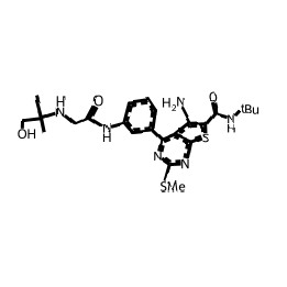 CSc1nc(-c2cccc(NC(=O)CNC(C)(C)CO)c2)c2c(N)c(C(=O)NC(C)(C)C)sc2n1